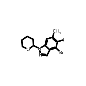 Cc1cc2c(cnn2C2CCCCO2)c(Br)c1I